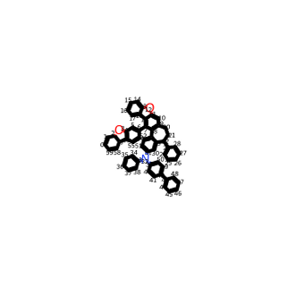 C1=CC2Oc3cc(-c4c5c(cc6oc7ccccc7c46)CCC(c4ccccc4)c4cc(N(c6ccccc6)c6ccc(-c7ccccc7)cc6)ccc4-5)ccc3C2C=C1